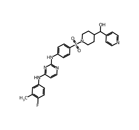 Cc1cc(Nc2ccnc(Nc3ccc(S(=O)(=O)N4CCC(C(O)c5ccncc5)CC4)cc3)n2)ccc1F